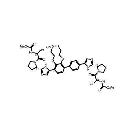 COCCOc1c(-c2ccc(-c3cnc([C@@H]4CSCN4C(=O)[C@@H](NC(=O)OC)C(C)C)[nH]3)cc2)ccc(-c2cnc([C@@H]3CCCN3C(=O)[C@@H](NC(=O)OC)C(C)C)[nH]2)c1OCCOC